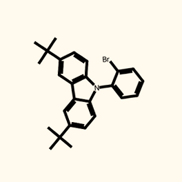 CC(C)(C)c1ccc2c(c1)c1cc(C(C)(C)C)ccc1n2-c1ccccc1Br